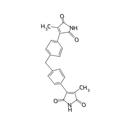 CC1=C(c2ccc(Cc3ccc(C4=C(C)C(=O)NC4=O)cc3)cc2)C(=O)NC1=O